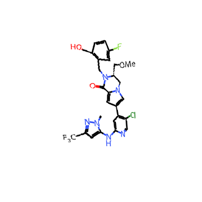 COC[C@H]1Cn2cc(-c3cc(Nc4cc(C(F)(F)F)nn4C)ncc3Cl)cc2C(=O)N1Cc1cc(F)ccc1CO